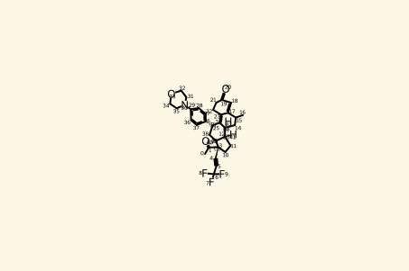 CC(=O)[C@@]1(C#CC(F)(F)F)CC[C@H]2[C@@H]3CC(C)C4=CC(=O)CCC4=C3[C@@H](c3ccc(N4CCOCC4)cc3)C[C@@]21C